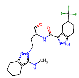 CNc1c2c(nn1CCC(C=O)NC(=O)c1n[nH]c3c1CC(C(F)(F)F)CC3)CCCC2